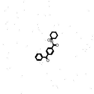 O=C(c1ccccc1)c1ccc(C(=O)N2OC23CCCCC3)cc1